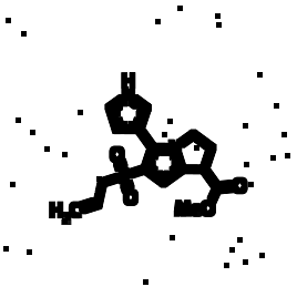 C=CCS(=O)(=O)c1cc2n(c1-c1cc[nH]c1)CCC2C(=O)OC